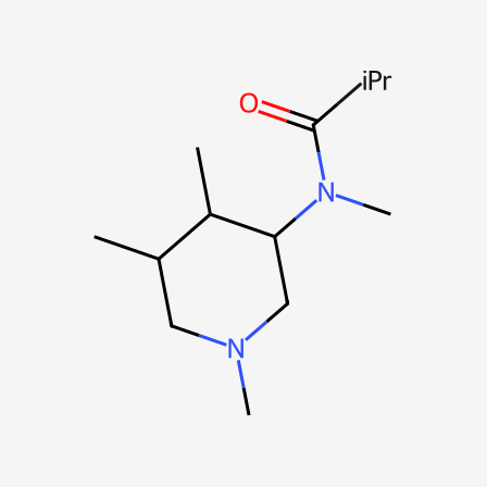 CC(C)C(=O)N(C)C1CN(C)CC(C)C1C